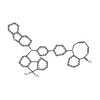 C=C1/C=C\C=C/CN(c2ccc(-c3ccc(N(c4ccc5c(c4)oc4ccccc45)c4cccc5c4-c4ccccc4C5(C)C)cc3)cc2)c2ccccc21